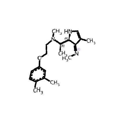 C/N=C1/C(C)=CN[C@@H]1[C@@H](C)N(C)CCOc1ccc(C)c(C)c1